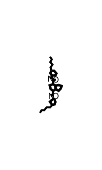 CCCCCc1ccc2oc(-c3ccc(-c4nc5cc(CCCCC)ccc5o4)c4ccccc34)nc2c1